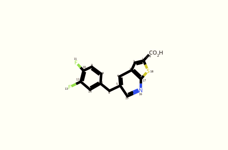 O=C(O)c1cc2cc(Cc3ccc(F)c(F)c3)cnc2s1